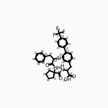 O=C(NC1(C(=O)NC(Cc2ccc(-c3ccc(C(F)(F)F)cc3)cc2)C(=O)O)CCCC1)C(S)Cc1ccccc1